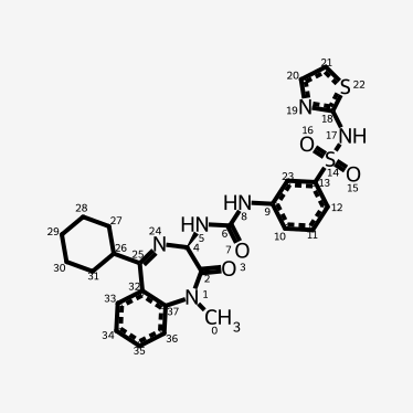 CN1C(=O)[C@H](NC(=O)Nc2cccc(S(=O)(=O)Nc3nccs3)c2)N=C(C2CCCCC2)c2ccccc21